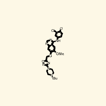 COc1cc2c(Nc3ccc(Cl)c(Cl)c3)ncnc2cc1OCc1nc(N2CCN(C(C)(C)C)CC2)no1